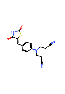 N#CCCN(CCC#N)c1ccc(/C=C2\SC(=O)NC2=O)cc1